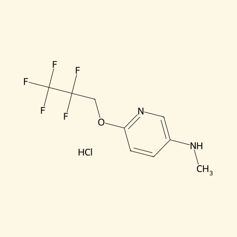 CNc1ccc(OCC(F)(F)C(F)(F)F)nc1.Cl